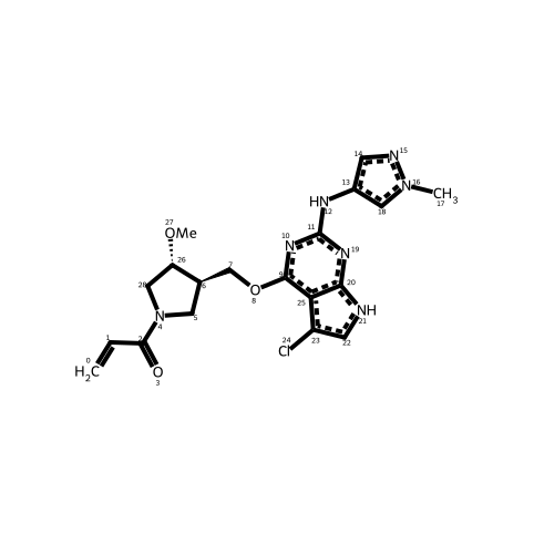 C=CC(=O)N1C[C@H](COc2nc(Nc3cnn(C)c3)nc3[nH]cc(Cl)c23)[C@@H](OC)C1